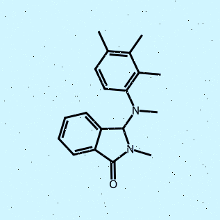 Cc1ccc(N(C)C2c3ccccc3C(=O)N2C)c(C)c1C